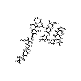 CCc1cc(C)cc(CC)c1-c1c(OC(=O)C(C)(C)C)n2n(c1=O)CCOCC2.COC(=O)C(C)Oc1ccc(Oc2ccc(Cl)cc2Cl)cc1.COc1ccccc1C(=O)NS(=O)(=O)c1ccc(C(=O)NC2CC2)cc1.Cc1c(C(=O)c2cnn(C)c2O)ccc(S(C)(=O)=O)c1C1=NOCC1